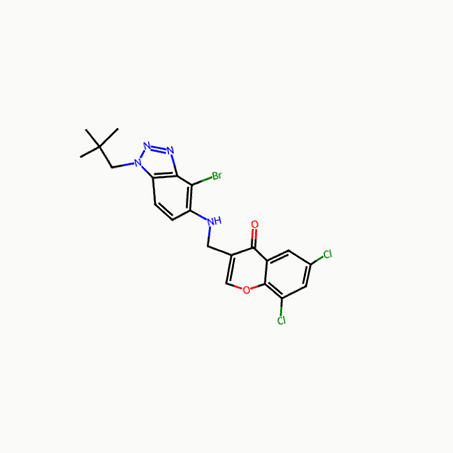 CC(C)(C)Cn1nnc2c(Br)c(NCc3coc4c(Cl)cc(Cl)cc4c3=O)ccc21